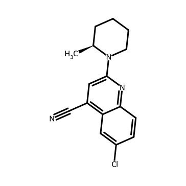 C[C@H]1CCCCN1c1cc(C#N)c2cc(Cl)ccc2n1